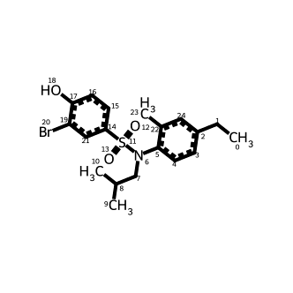 CCc1ccc(N(CC(C)C)S(=O)(=O)c2ccc(O)c(Br)c2)c(C)c1